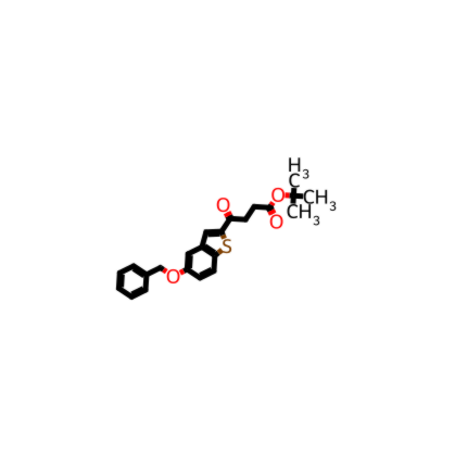 CC(C)(C)OC(=O)CCC(=O)c1cc2cc(OCc3ccccc3)ccc2s1